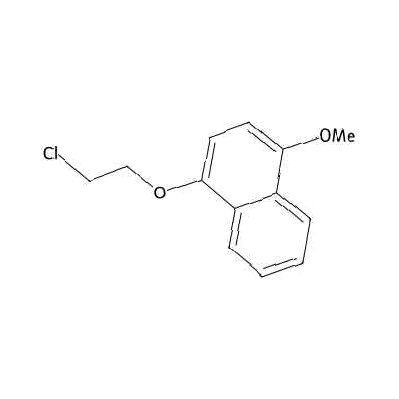 COc1ccc(OCCCl)c2ccccc12